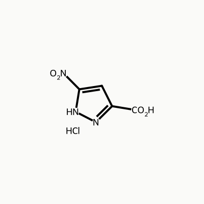 Cl.O=C(O)c1cc([N+](=O)[O-])[nH]n1